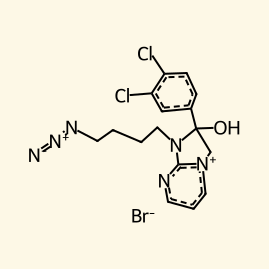 [Br-].[N-]=[N+]=NCCCCN1c2nccc[n+]2CC1(O)c1ccc(Cl)c(Cl)c1